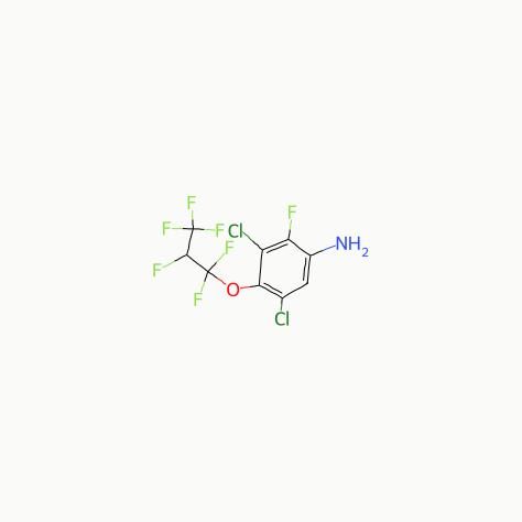 Nc1cc(Cl)c(OC(F)(F)C(F)C(F)(F)F)c(Cl)c1F